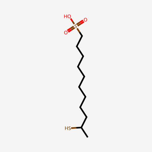 CC(S)CCCCCCCCCS(=O)(=O)O